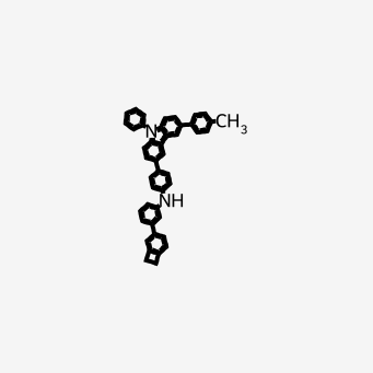 Cc1ccc(-c2ccc3c(c2)c2cc(-c4ccc(Nc5cccc(-c6ccc7c(c6)CC7)c5)cc4)ccc2n3-c2ccccc2)cc1